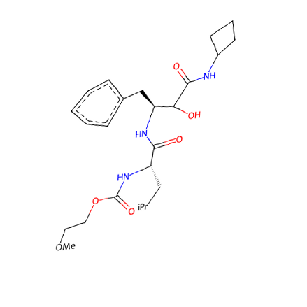 COCCOC(=O)N[C@@H](CC(C)C)C(=O)N[C@@H](Cc1ccccc1)C(O)C(=O)NC1CCC1